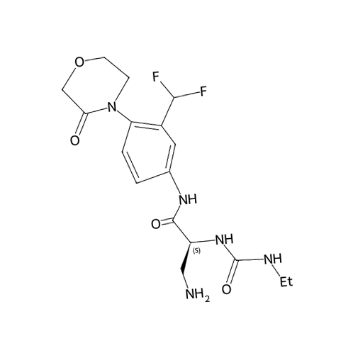 CCNC(=O)N[C@@H](CN)C(=O)Nc1ccc(N2CCOCC2=O)c(C(F)F)c1